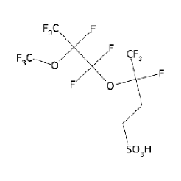 O=S(=O)(O)CCC(F)(OC(F)(F)C(F)(OC(F)(F)F)C(F)(F)F)C(F)(F)F